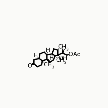 CC(=O)OCC(=O)[C@@]1(O)[C@@H](C)C[C@H]2[C@@H]3CC[C@@H]4CC(=O)CC[C@]4(C)C3=CC[C@@]21C